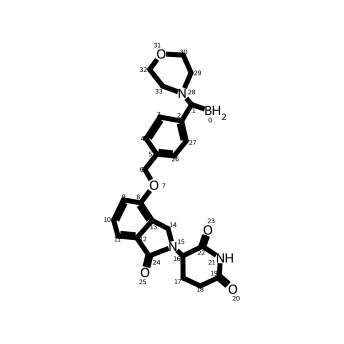 BC(c1ccc(COc2cccc3c2CN(C2CCC(=O)NC2=O)C3=O)cc1)N1CCOCC1